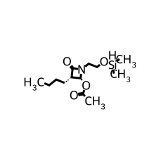 CCCC[C@@H]1C(=O)N(CCO[SiH](C)C)[C@@H]1OC(C)=O